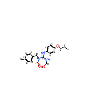 CCCOc1ccc(/N=C2\NCOOCN2Cc2ccc(C)cc2)cc1